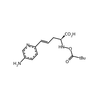 CC(C)(C)C(=O)ON[C@@H](CC=Cc1ccc(N)cn1)C(=O)O